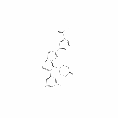 COC(=O)c1cccc(-c2ccc3ncc(-c4cc(F)cc(F)c4)c(N4CCC(=O)CC4)c3c2)n1